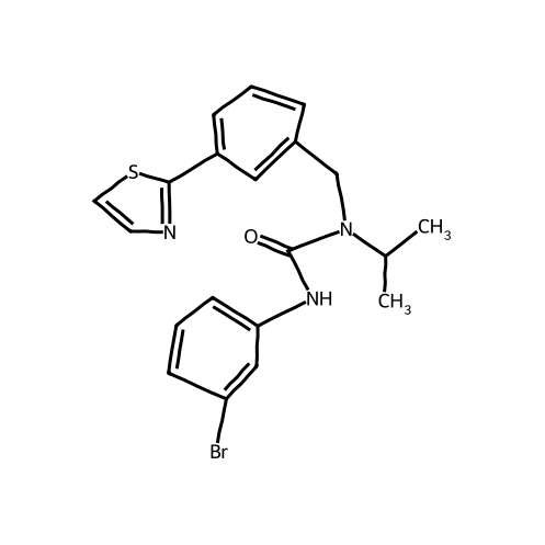 CC(C)N(Cc1cccc(-c2nccs2)c1)C(=O)Nc1cccc(Br)c1